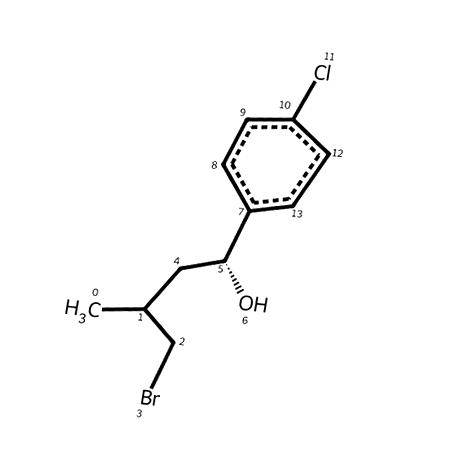 CC(CBr)C[C@@H](O)c1ccc(Cl)cc1